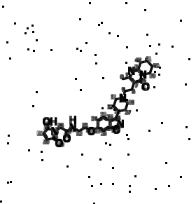 Cc1nc2n(c(=O)c1CCN1CCC(c3noc4cc(OCCNC(=O)CN5C(=O)C=CC5O)ccc34)CC1)CCCC2